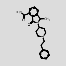 CC1c2cccc(C(N)=O)c2C(=O)N1C1CCN(CCc2ccccc2)CC1